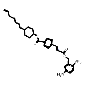 C=CCCCCCC1CCC(OC(=O)c2ccc(/C=C/C(=O)OCc3cc(N)ccc3N)cc2)CC1